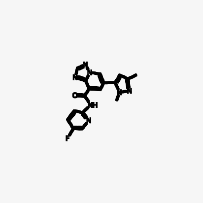 Cc1cc(-c2cc(C(=O)Nc3ccc(F)cn3)c3ncnn3c2)n(C)n1